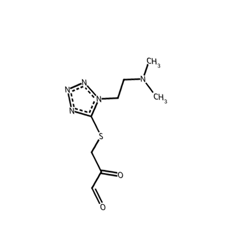 CN(C)CCn1nnnc1SCC(=O)C=O